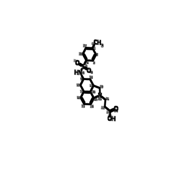 Cc1ccc(S(=O)(=O)NC2Cc3cccc4c3C(C2)CN4CCC(=O)O)cc1